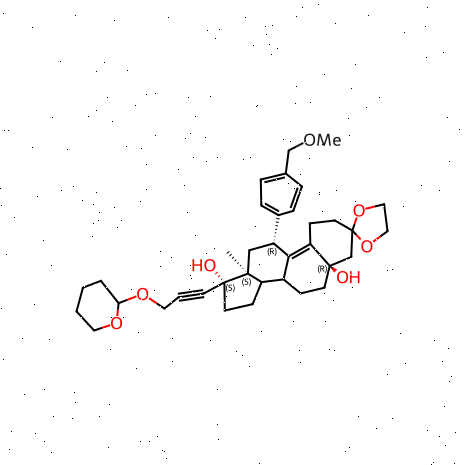 COCc1ccc([C@H]2C[C@@]3(C)C(CC[C@@]3(O)C#CCOC3CCCCO3)C3CC[C@@]4(O)CC5(CCC4=C32)OCCO5)cc1